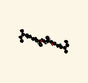 CC1(C)c2cc(-c3cc(-c4ccccc4)cc(-c4cccc(-c5ccccc5)c4)c3)ccc2-c2ccc(-c3ccc4c(c3)C(C)(C)c3cc(-c5cc6c(c7c5oc5ccccc57)-c5cc7c(cc5[Si]6(C)C)-c5c(cc(-c6ccc8c(c6)C(C)(C)c6cc(-c9ccc%10c(c9)C(C)(C)c9cc(-c%11cc(-c%12ccccc%12)cc(-c%12cccc(-c%13ccccc%13)c%12)c%11)ccc9-%10)ccc6-8)c6oc8ccccc8c56)[Si]7(C)C)ccc3-4)cc21